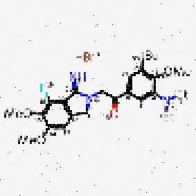 Br.CCN(CC)c1cc(C(=O)CN2Cc3cc(OC)c(OC)c(F)c3C2=N)cc(C(C)(C)C)c1OC